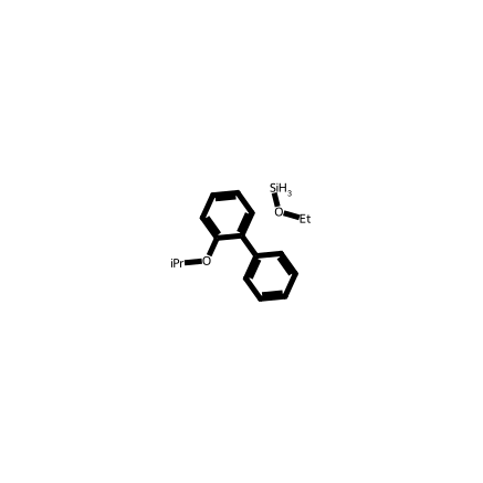 CC(C)Oc1ccccc1-c1ccccc1.CCO[SiH3]